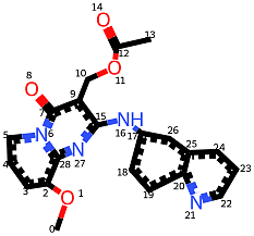 COc1cccn2c(=O)c(COC(C)=O)c(Nc3ccc4ncccc4c3)nc12